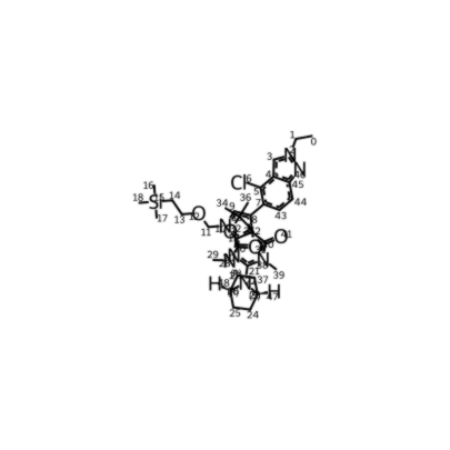 CCn1cc2c(Cl)c(-c3cn(COCC[Si](C)(C)C)c4nc(N5[C@H]6CC[C@@H]5[C@H](N(C)C(=O)OC(C)(C)C)C6)n(C)c(=O)c34)ccc2n1